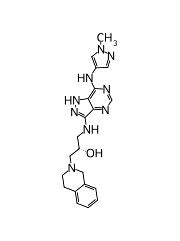 Cn1cc(Nc2ncnc3c(NC[C@H](O)CN4CCc5ccccc5C4)n[nH]c23)cn1